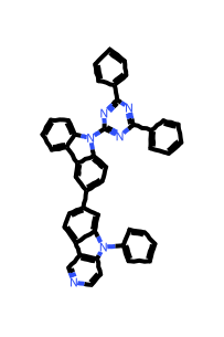 c1ccc(-c2nc(-c3ccccc3)nc(-n3c4ccccc4c4cc(-c5ccc6c7cnccc7n(-c7ccccc7)c6c5)ccc43)n2)cc1